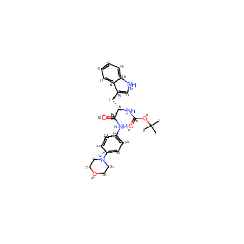 CC(C)(C)OC(=O)N[C@@H](Cc1c[nH]c2ccccc12)C(=O)Nc1ccc(N2CCOCC2)cc1